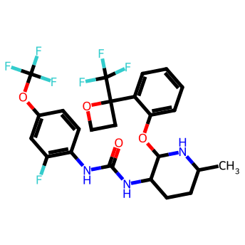 CC1CCC(NC(=O)Nc2ccc(OC(F)(F)F)cc2F)C(Oc2ccccc2C2(C(F)(F)F)CCO2)N1